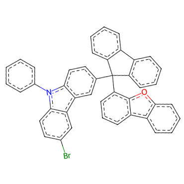 Brc1ccc2c(c1)c1cc(C3(c4cccc5c4oc4ccccc45)c4ccccc4-c4ccccc43)ccc1n2-c1ccccc1